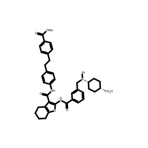 COC(=O)c1ccc(CCc2ccc(NC(=O)c3c(NC(=O)c4cccc(CN(C(C)C)[C@H]5CC[C@@H](C(=O)O)CC5)c4)sc4c3CCCC4)cc2)cc1